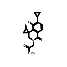 COC(=O)CN1CC2(CC2F)c2c(ccc(C3CC3)c2F)C1=O